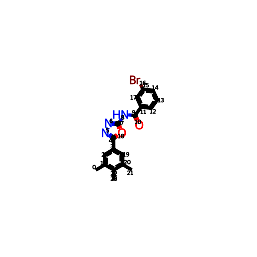 Cc1cc(-c2nnc(NC(=O)c3cccc(Br)c3)o2)cc(C)c1C